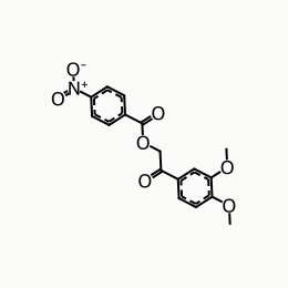 COc1ccc(C(=O)COC(=O)c2ccc([N+](=O)[O-])cc2)cc1OC